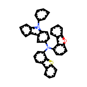 c1ccc(-n2c3ccccc3c3cc(N(c4cccc5c4sc4ccccc45)c4cccc5oc6ccccc6c45)ccc32)cc1